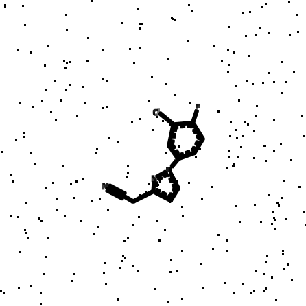 N#CCc1ccn(-c2ccc(F)c(Cl)c2)n1